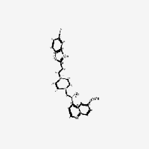 COc1ccc2nccc([C@@H](O)CN3CCN(CCc4nc5cc(F)ccc5[nH]4)CC3)c2c1